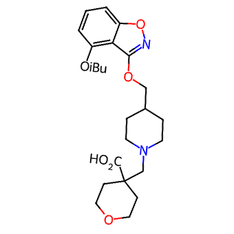 CC(C)COc1cccc2onc(OCC3CCN(CC4(C(=O)O)CCOCC4)CC3)c12